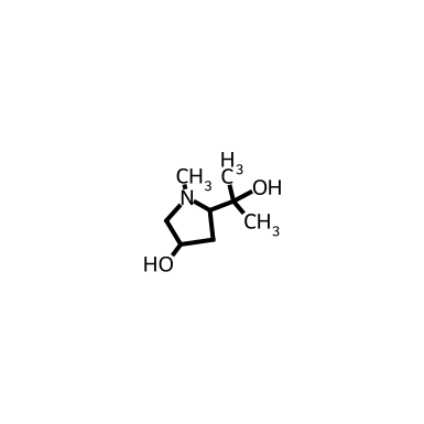 CN1CC(O)CC1C(C)(C)O